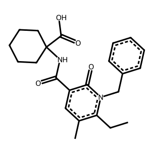 CCc1c(C)cc(C(=O)NC2(C(=O)O)CCCCC2)c(=O)n1Cc1ccccc1